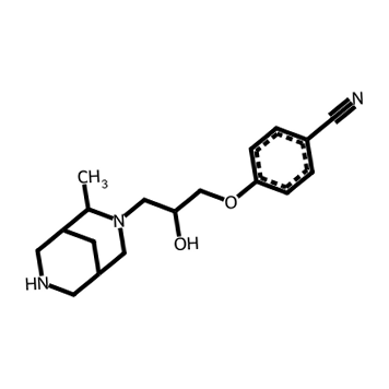 CC1C2CNCC(C2)CN1CC(O)COc1ccc(C#N)cc1